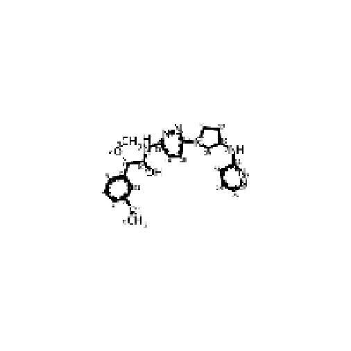 COc1cccc([C@H](OC)C(O)Nc2ccc(N3CC[C@@H](Nc4cccnn4)C3)nn2)c1